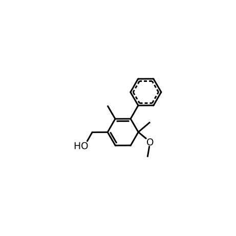 COC1(C)CC=C(CO)C(C)=C1c1ccccc1